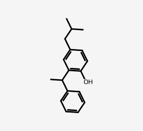 CC(C)Cc1ccc(O)c(C(C)c2ccccc2)c1